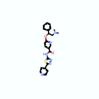 CN(C)CC(Oc1ccc(C(=O)Nc2nnc(-c3ccncc3)s2)cn1)c1ccccc1